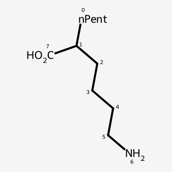 CCCCCC(CCCCN)C(=O)O